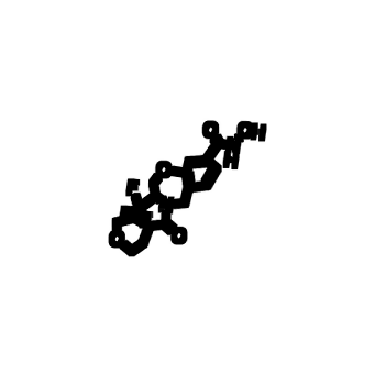 O=C(NO)c1ccc2c(c1)OCC(C(F)(F)F)N(C(=O)C1CCOCC1)C2